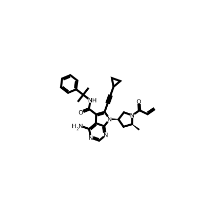 C=CC(=O)N1C[C@H](n2c(C#CC3CC3)c(C(=O)NC(C)(C)c3ccccc3)c3c(N)ncnc32)C[C@@H]1C